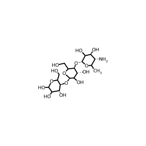 CC1O[C@H](O[C@@H]2C(CO)O[C@H](O[C@@H]3C(CO)OC(O)C(O)[C@H]3O)C(O)[C@H]2O)C(O)[C@@H](O)[C@@H]1N